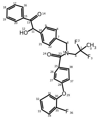 CC(F)(F)CN(Cc1ccc(C(O)C(=O)c2ccccc2)cc1)C(=O)c1ccc(Oc2ccccc2F)cc1